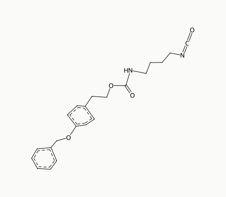 O=C=NCCCCNC(=O)OCCc1ccc(OCc2ccccc2)cc1